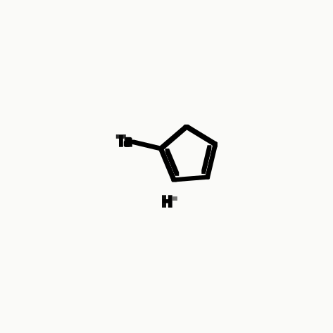 [H-].[Ta][C]1=CC=CC1